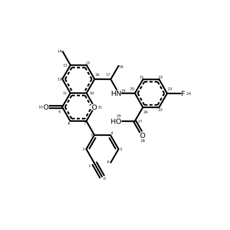 C#C/C=C(\C=C/C)c1cc(=O)c2cc(C)cc(C(C)Nc3ccc(F)cc3C(=O)O)c2o1